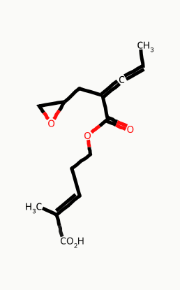 CC=C=C(CC1CO1)C(=O)OCCC=C(C)C(=O)O